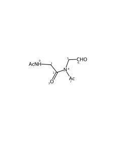 CC(=O)NCC(=O)N(CC=O)C(C)=O